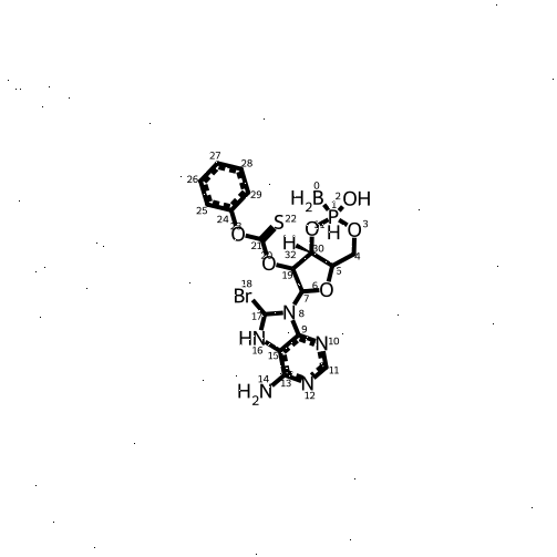 B[PH]1(O)OCC2OC(N3c4ncnc(N)c4NC3Br)C(OC(=S)Oc3ccccc3)[C@@H]2O1